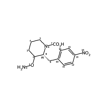 NOC1CCCN(C(=O)O)[C@@H]1Cc1ccc([N+](=O)[O-])cc1